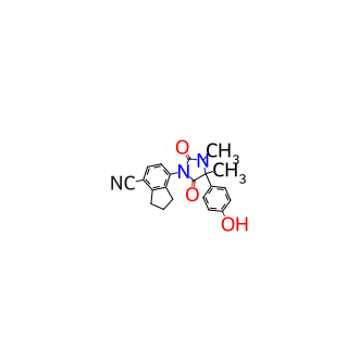 CN1C(=O)N(c2ccc(C#N)c3c2CCC3)C(=O)C1(C)c1ccc(O)cc1